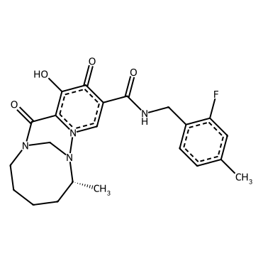 Cc1ccc(CNC(=O)c2cn3c(c(O)c2=O)C(=O)N2CCCC[C@@H](C)N3C2)c(F)c1